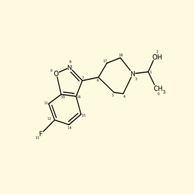 CC(O)N1CCC(c2noc3cc(F)ccc23)CC1